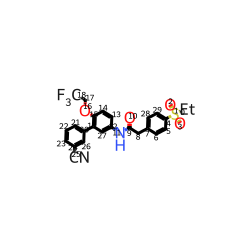 CCS(=O)(=O)c1ccc(CC(=O)Nc2ccc(OCC(F)(F)F)c(-c3cccc(C#N)c3)c2)cc1